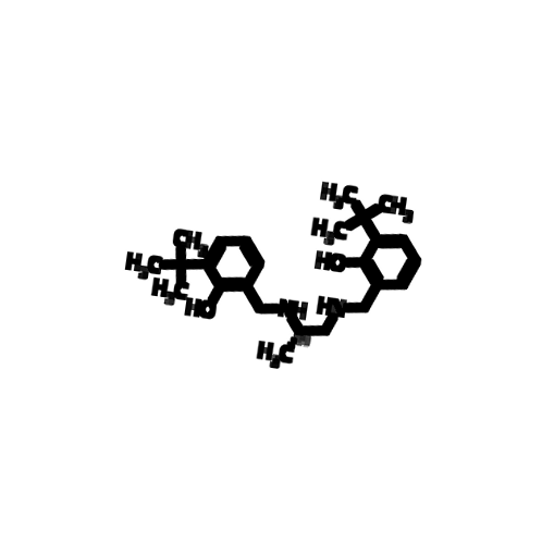 C[C@@H](CNCc1cccc(C(C)(C)C)c1O)NCc1cccc(C(C)(C)C)c1O